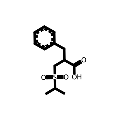 CC(C)S(=O)(=O)CC(Cc1ccccc1)C(=O)O